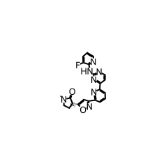 CN1CC[C@@H](c2cc(-c3cccc(-c4ccnc(Nc5ncccc5F)n4)n3)no2)C1=O